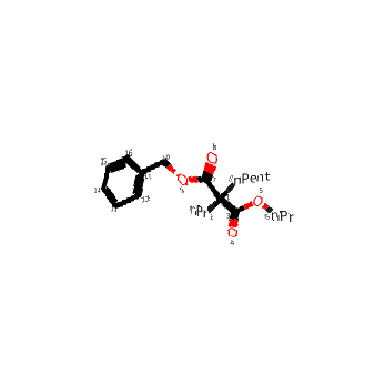 CCCCCC(CCC)(C(=O)OCCC)C(=O)OCc1ccccc1